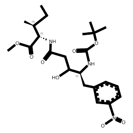 CC[C@H](C)[C@H](NC(=O)CC(O)[C@H](Cc1cccc([N+](=O)[O-])c1)NC(=O)OC(C)(C)C)C(=O)OC